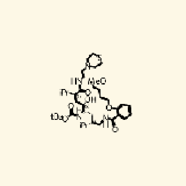 COCCCCOc1ccccc1C(=O)NC[C@@H](C[C@H](NC(=O)OC(C)(C)C)[C@@H](O)C[C@H](C(=O)NCCN1CCSCC1)C(C)C)C(C)C